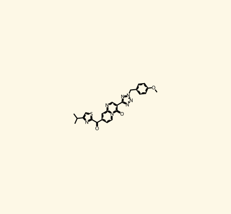 COc1ccc(Cn2nnc(-c3cnc4cc(C(=O)c5nc(C(C)C)cs5)ccn4c3=O)n2)cc1